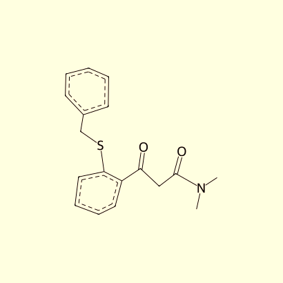 CN(C)C(=O)CC(=O)c1ccccc1SCc1ccccc1